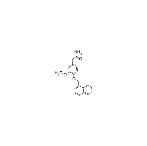 COc1cc(CC(N)=O)ccc1OCc1cccc2ccccc12